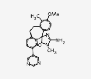 COc1ccc2c(c1C)CCc1ccc(-c3cncnc3)cc1C21N=C(N)N(C)C1=O